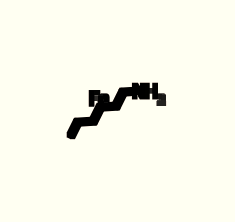 CCCCCCN.[Fe]